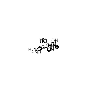 Cl.Cl.N=C(N)N1CCC(OCCC2CCCCN2C(=O)[C@H](CC(=O)O)NCC2CCCC2)CC1